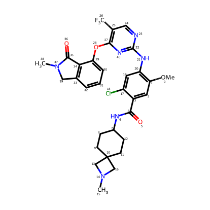 COc1cc(C(=O)NC2CCC3(CC2)CN(C)C3)c(Cl)cc1Nc1ncc(C(F)(F)F)c(Oc2cccc3c2C(=O)N(C)C3)n1